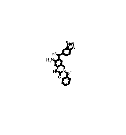 C[C@H](c1ccccc1)N1Cc2cc(C(=N)c3ccc4nnn(C)c4c3)c(N)cc2NC1=O